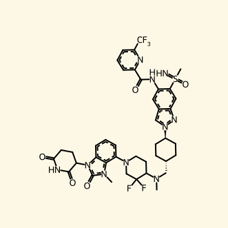 CN(C[C@H]1CC[C@H](n2cc3cc(NC(=O)c4cccc(C(F)(F)F)n4)c(S(C)(=N)=O)cc3n2)CC1)C1CCN(c2cccc3c2n(C)c(=O)n3C2CCC(=O)NC2=O)CC1(F)F